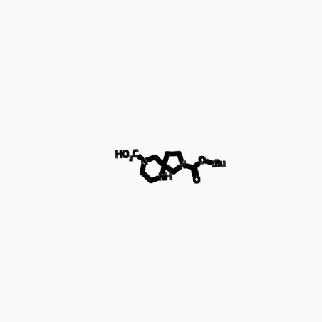 CC(C)(C)OC(=O)N1CCC2(CN(C(=O)O)CCN2)C1